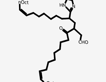 CCCCCCCC/C=C\CCCCCCCC(=O)C(CC=O)CC(CCCCCC/C=C\CCCCCCCC)C1=NCCN1